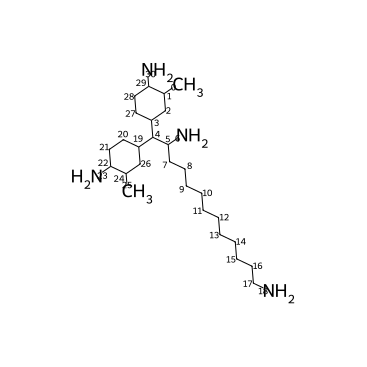 CC1CC(C(C(N)CCCCCCCCCCCN)C2CCC(N)C(C)C2)CCC1N